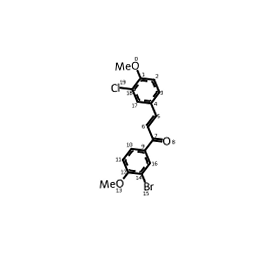 COc1ccc(/C=C/C(=O)c2ccc(OC)c(Br)c2)cc1Cl